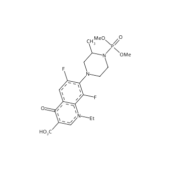 CCn1cc(C(=O)O)c(=O)c2cc(F)c(N3CCN(P(=O)(OC)OC)C(C)C3)c(F)c21